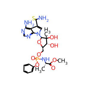 COC(=O)[C@H](C)NP(=O)(OC[C@H]1O[C@@H](n2cc(C(N)=S)c3c(N)ncnc32)[C@](C)(O)[C@@H]1O)Oc1ccccc1